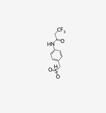 O=C(CC(F)(F)F)Nc1ccc(C[SH](=O)=O)cc1